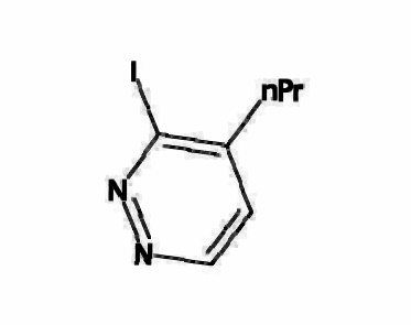 CCCc1ccnnc1I